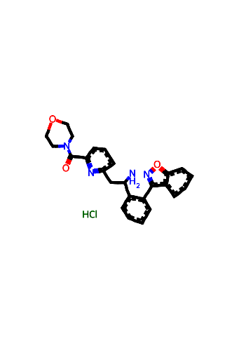 Cl.NC(Cc1cccc(C(=O)N2CCOCC2)n1)c1ccccc1-c1noc2ccccc12